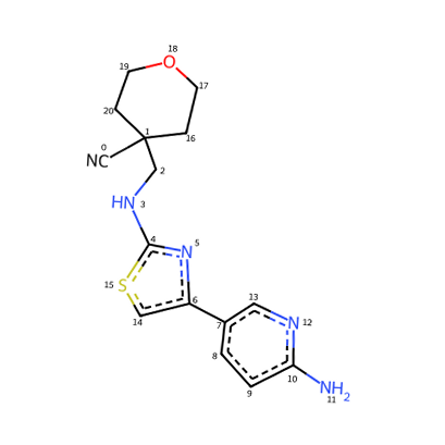 N#CC1(CNc2nc(-c3ccc(N)nc3)cs2)CCOCC1